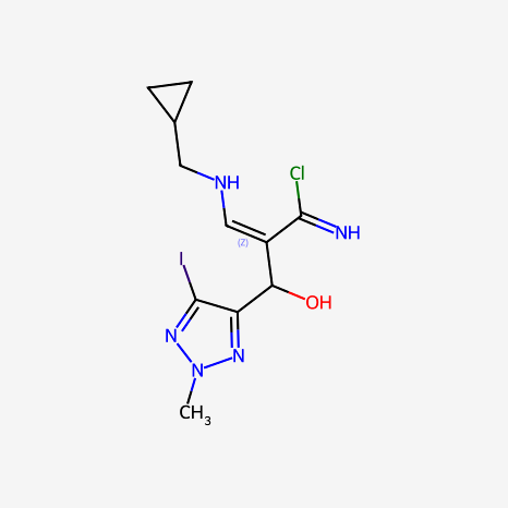 Cn1nc(I)c(C(O)/C(=C/NCC2CC2)C(=N)Cl)n1